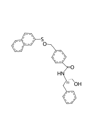 O=C(N[C@H](CO)Cc1ccccc1)c1ccc(COSc2ccc3ccccc3c2)cc1